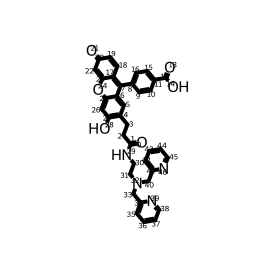 O=C(CCc1cc2c(-c3ccc(C(=O)O)cc3)c3ccc(=O)cc-3oc2cc1O)NCCN(Cc1ccccn1)Cc1ccccn1